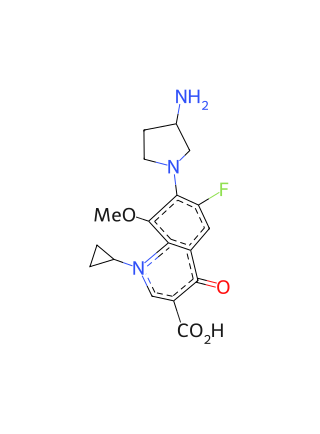 COc1c(N2CCC(N)C2)c(F)cc2c(=O)c(C(=O)O)cn(C3CC3)c12